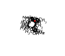 CC[C@H]1OC(=O)[C@H](C)[C@@H](O[C@H]2C[C@@](C)(OC)[C@@H](O)[C@H](C)O2)[C@H](C)[C@@H](O[C@@H]2O[C@H](C)C[C@H](NC)[C@H]2Oc2ccc(OC)c(OC(C)C)c2)[C@](C)(O)C[C@@H](C)CN(C)[C@H](C)[C@@H](O)[C@]1(C)O